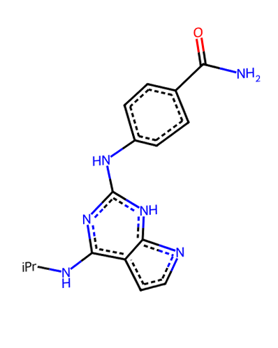 CC(C)Nc1nc(Nc2ccc(C(N)=O)cc2)[nH]c2nccc1-2